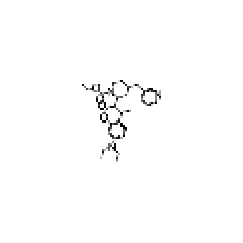 CCOC(=O)N1CCC(Cc2cccnc2)CC1C1C(=O)Oc2cc(N(CC)CC)ccc2C1C